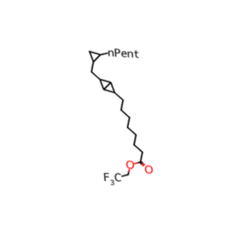 CCCCCC1CC1CC1C2C(CCCCCCCC(=O)OCC(F)(F)F)C12